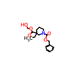 CCC1(C(=O)OCO)CCCN(C(=O)OCc2ccccc2)C1